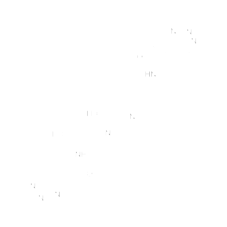 CC(CCN1CCN(CCCNc2ccc3nnn4c5ccccc5c(=O)c2c34)CC1C)Nc1ccc2nnn3c4ccccc4c(=O)c1c23